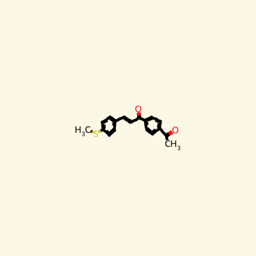 CSc1ccc(/C=C/C(=O)c2ccc(C(C)=O)cc2)cc1